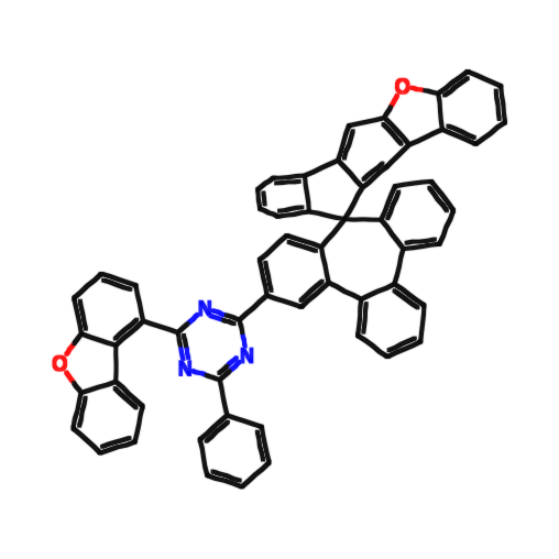 c1ccc(-c2nc(-c3ccc4c(c3)-c3ccccc3-c3ccccc3C43c4ccccc4-c4cc5oc6ccccc6c5cc43)nc(-c3cccc4oc5ccccc5c34)n2)cc1